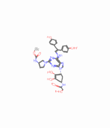 CC(C)(C)OC(=O)N[C@@H]1CCN(c2nc(NCC(c3ccc(O)cc3)c3ccc(O)cc3)c3ncn([C@@H]4C[C@H](NC(=O)CO)[C@@H](O)[C@H]4O)c3n2)C1